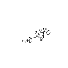 C[C@@H](NC(=O)N1C(=O)[C@H](CCc2cnc(N)s2)[C@H]1C(=O)O)c1ccccc1